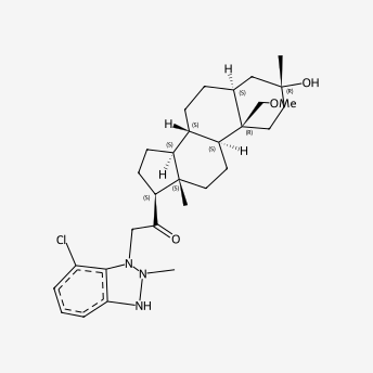 COC[C@]12CC[C@@](C)(O)C[C@@H]1CC[C@H]1[C@@H]3CC[C@H](C(=O)CN4c5c(Cl)cccc5NN4C)[C@@]3(C)CC[C@@H]12